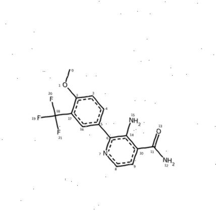 COc1ccc(-c2nccc(C(N)=O)c2N)cc1C(F)(F)F